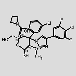 CO[C@H]1[C@@H](S)O[C@H](CO)[C@H](O)C1(c1cc(Cl)ccc1C(=O)N1CCC1)n1cc(-c2cc(F)c(Cl)c(F)c2)nn1